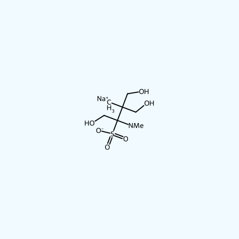 CNC(CO)(C(C)(CO)CO)S(=O)(=O)[O-].[Na+]